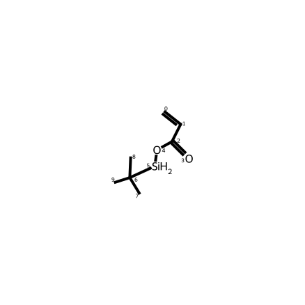 C=CC(=O)O[SiH2]C(C)(C)C